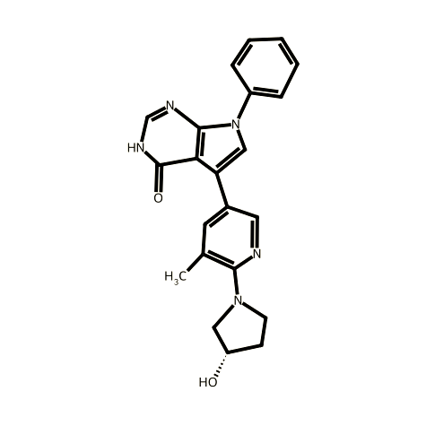 Cc1cc(-c2cn(-c3ccccc3)c3nc[nH]c(=O)c23)cnc1N1CC[C@H](O)C1